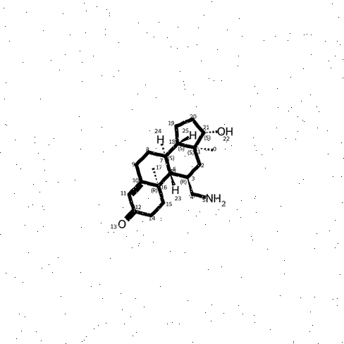 C[C@]12C[C@@H](CN)[C@H]3[C@@H](CCC4=CC(=O)CC[C@@]43C)[C@@H]1CC[C@@H]2O